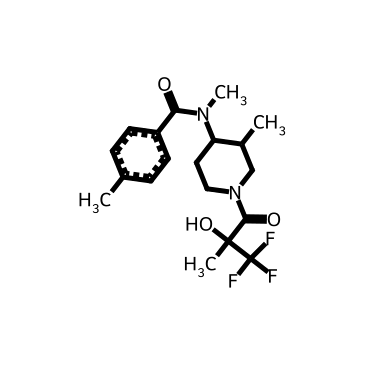 Cc1ccc(C(=O)N(C)C2CCN(C(=O)C(C)(O)C(F)(F)F)CC2C)cc1